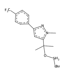 Cn1nc(-c2ccc(C(F)(F)F)cc2)cc1C(C)(C)O[SiH2]C(C)(C)C